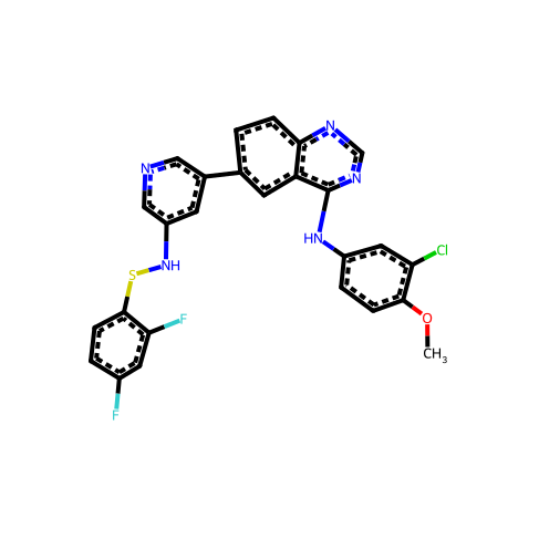 COc1ccc(Nc2ncnc3ccc(-c4cncc(NSc5ccc(F)cc5F)c4)cc23)cc1Cl